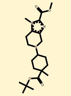 COC(=O)c1nc2c(n1C)CCN(C1CCC(C)(C(=O)OC(C)(C)C)CC1)C2